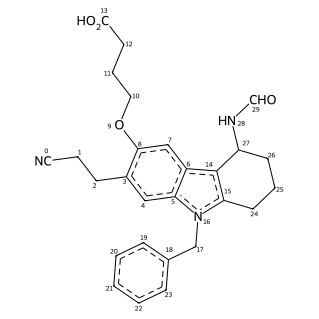 N#CCCc1cc2c(cc1OCCCC(=O)O)c1c(n2Cc2ccccc2)CCCC1NC=O